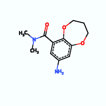 CN(C)C(=O)c1cc(N)cc2c1OCCCO2